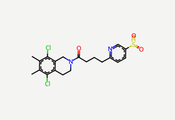 Cc1c(C)c(Cl)c2c(c1Cl)CCN(C(=O)CCCc1ccc([SH](=O)=O)cn1)C2